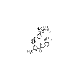 COc1cccc(CNC(=O)c2cc(-c3nnn(C[C@@H]4CCCN(C(=O)OC(C)(C)C)C4)n3)cc(C)n2)c1